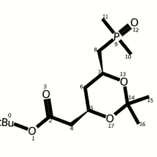 CC(C)(C)OC(=O)C[C@H]1C[C@@H](CP(C)(C)=O)OC(C)(C)O1